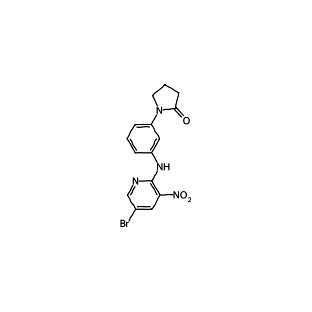 O=C1CCCN1c1cccc(Nc2ncc(Br)cc2[N+](=O)[O-])c1